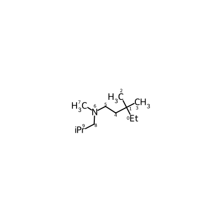 CCC(C)(C)CCN(C)CC(C)C